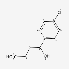 O=C(O)CCC(O)c1ccc(Cl)cc1